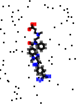 CN(CCC(=O)O)CCN(C(=O)c1ccc2c(c1)nc(CNc1ccc(C(=N)N)cc1)n2C)c1ccccc1